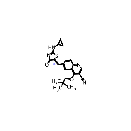 CC(C)(C)COc1c(C#N)cnc2ccc(/C=C3\SC(NC4CC4)=NC3=O)cc12